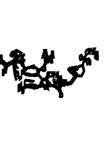 CCn1nc(C(=O)NCC2CCC(S(C)(=O)=O)CC2)c(C)c1-c1cnc(CC(C)(C)C(F)F)cc1OC(F)F